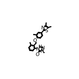 Cc1cc(-c2nc(C)c(C)s2)ccc1OCc1c(C)cccc1-n1nnn(C)c1=O